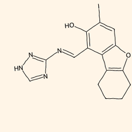 Oc1c(I)cc2oc3c(c2c1C=Nc1nc[nH]n1)CCCC3